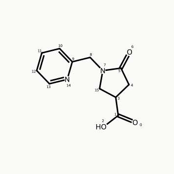 O=C(O)C1CC(=O)N(Cc2ccccn2)C1